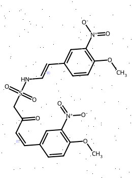 COc1ccc(/C=C\C(=O)CS(=O)(=O)N/C=C/c2ccc(OC)c([N+](=O)[O-])c2)cc1[N+](=O)[O-]